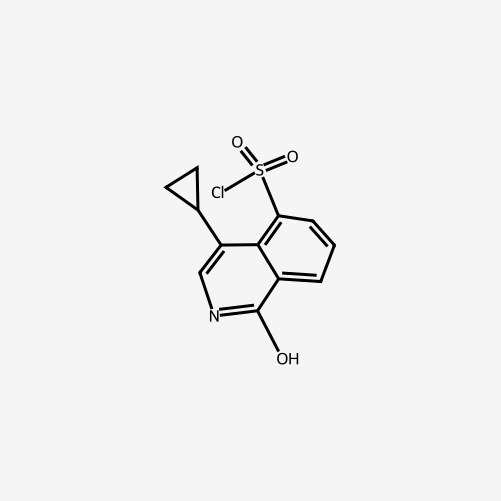 O=S(=O)(Cl)c1cccc2c(O)ncc(C3CC3)c12